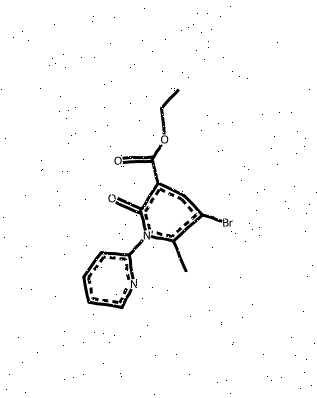 CCOC(=O)c1cc(Br)c(C)n(-c2ccccn2)c1=O